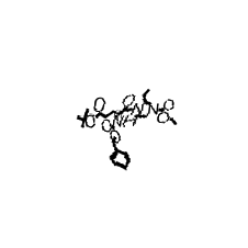 CCOC(=O)N1CCN(C(=O)[C@H](CCC(=O)OC(C)(C)C)NC(=O)OCc2ccccc2)C(CC)C1